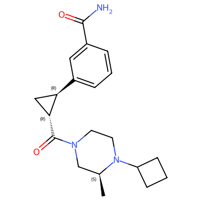 C[C@H]1CN(C(=O)[C@@H]2C[C@H]2c2cccc(C(N)=O)c2)CCN1C1CCC1